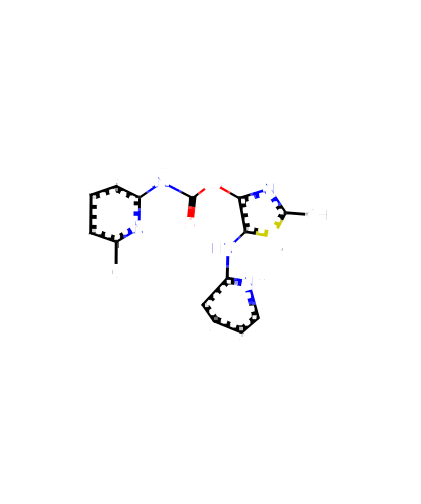 Cc1cccc(NC(=O)Oc2nc(C)sc2Nc2ccccn2)n1